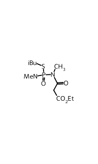 CCOC(=O)CC(=O)N(C)P(=O)(NC)SC(C)CC